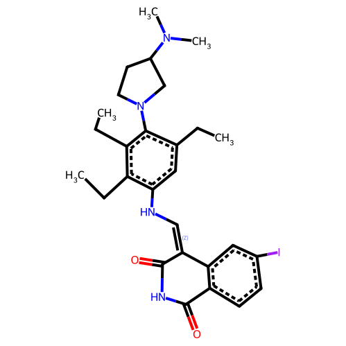 CCc1cc(N/C=C2\C(=O)NC(=O)c3ccc(I)cc32)c(CC)c(CC)c1N1CCC(N(C)C)C1